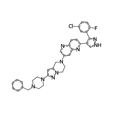 Fc1ccc(Cl)cc1-c1n[nH]cc1-c1ccc2ncc(N3CCn4nc(N5CCN(Cc6ccccc6)CC5)cc4C3)cc2n1